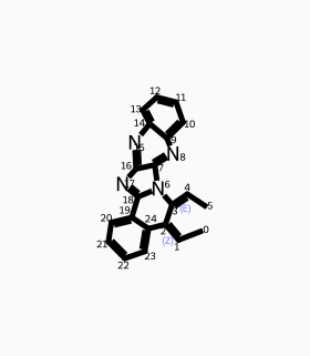 C/C=c1\c(=C/C)n2c3nc4ccccc4nc3nc2c2ccccc12